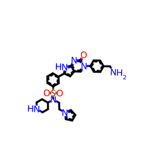 NCc1ccc(-n2cc3cc(-c4cccc(S(=O)(=O)N(CCn5cccc5)C5CCNCC5)c4)[nH]c3nc2=O)cc1